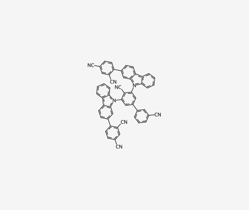 N#Cc1cccc(-c2cc(-n3c4ccccc4c4ccc(-c5ccc(C#N)cc5C#N)cc43)c(C#N)c(-n3c4ccccc4c4ccc(-c5ccc(C#N)cc5C#N)cc43)c2)c1